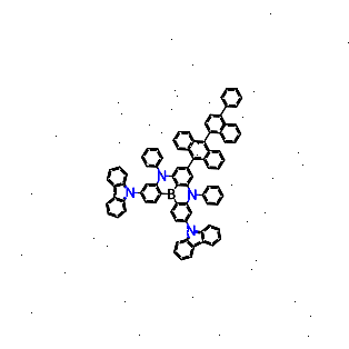 c1ccc(-c2ccc(-c3c4ccccc4c(-c4cc5c6c(c4)N(c4ccccc4)c4cc(-n7c8ccccc8c8ccccc87)ccc4B6c4ccc(-n6c7ccccc7c7ccccc76)cc4N5c4ccccc4)c4ccccc34)c3ccccc23)cc1